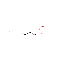 CCCCCCCC[SiH]1OO[SiH2]O1